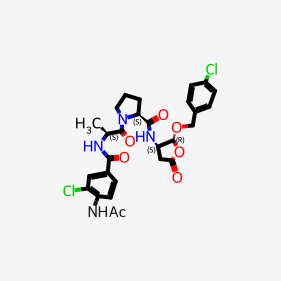 CC(=O)Nc1ccc(C(=O)N[C@@H](C)C(=O)N2CCC[C@H]2C(=O)N[C@H]2CC(=O)O[C@H]2OCc2ccc(Cl)cc2)cc1Cl